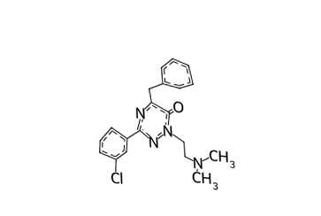 CN(C)CCn1nc(-c2cccc(Cl)c2)nc(Cc2ccccc2)c1=O